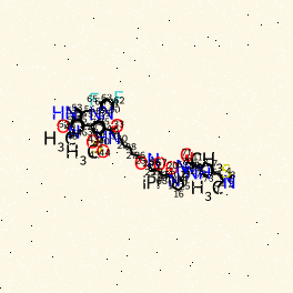 Cc1ncsc1-c1ccc([C@@]2(C)NC([C@H]3CCCN3C(=O)[C@H](c3cc(OCCCCCNC(=O)c4cc5c(cc4CS(C)(=O)=O)-c4cn(C)c(=O)c6[nH]cc(c46)CN5c4ncc(F)cc4F)no3)C(C)C)=NC2=O)cc1